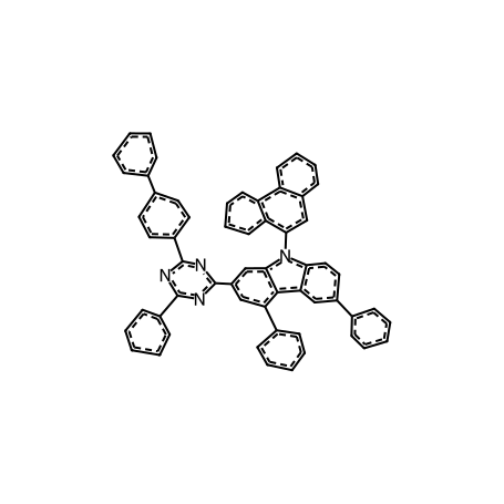 c1ccc(-c2ccc(-c3nc(-c4ccccc4)nc(-c4cc(-c5ccccc5)c5c6cc(-c7ccccc7)ccc6n(-c6cc7ccccc7c7ccccc67)c5c4)n3)cc2)cc1